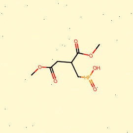 COC(=O)CC(C[PH](=O)O)C(=O)OC